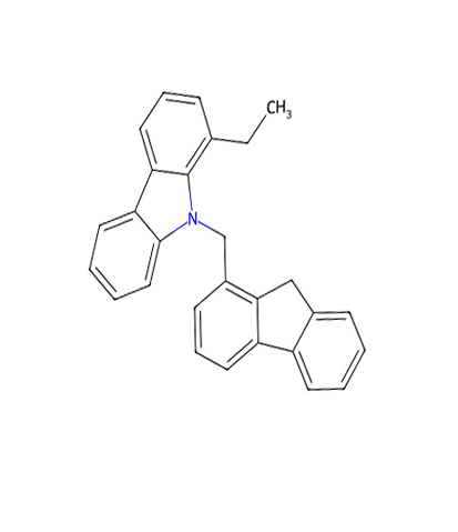 CCc1cccc2c3ccccc3n(Cc3cccc4c3Cc3ccccc3-4)c12